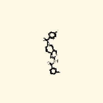 O=C(NC1N=CC2=CN(C(=O)c3ccc(F)cc3)CCC2=N1)c1cccc(F)c1